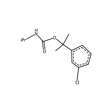 CC(C)NC(=O)OC(C)(C)c1cccc(Cl)c1